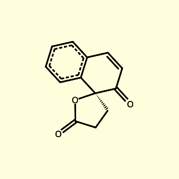 O=C1CC[C@@]2(O1)C(=O)C=Cc1ccccc12